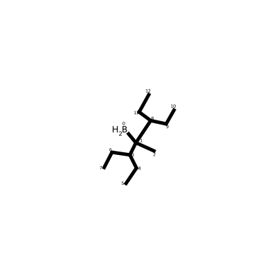 BC(C)(C(CC)CC)C(CC)CC